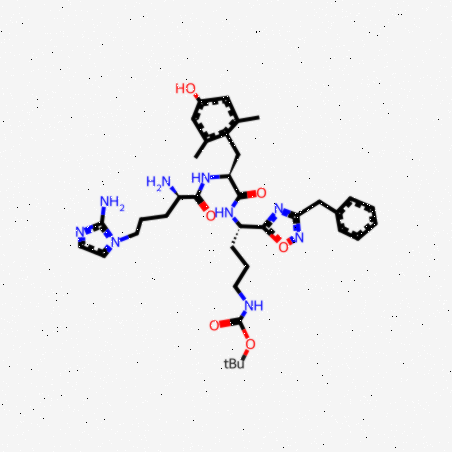 Cc1cc(O)cc(C)c1C[C@H](NC(=O)[C@H](N)CCCn1ccnc1N)C(=O)N[C@@H](CCCNC(=O)OC(C)(C)C)c1nc(Cc2ccccc2)no1